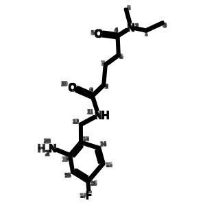 CCN(C)C(=O)CCCC(=O)NCc1ccc(F)cc1N